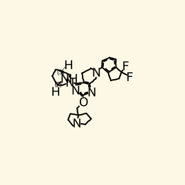 FC1(F)CCc2c(N3CCc4c(nc(OCC56CCCN5CCC6)nc4N4C[C@H]5CC[C@@H](C4)N5)C3)cccc21